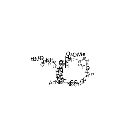 COC(=O)[C@@H]1Cc2ccc(cc2)OC2CC2COc2ccc(cc2)C[C@H](NC(C)=O)C(=O)N[C@H](CCCCNC(=O)OC(C)(C)C)C(=O)N1